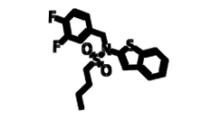 CCCCS(=O)(=O)N(Cc1ccc(F)c(F)c1)c1cc2ccccc2s1